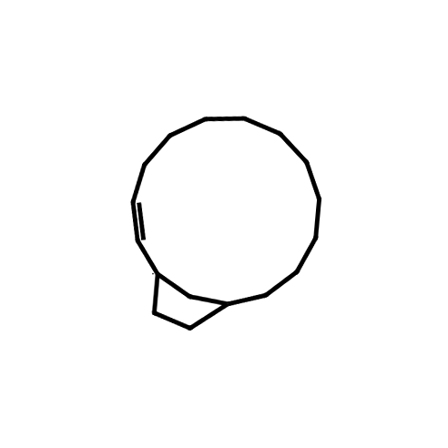 C1=C[C]2CCC(CCCCCCCCCC1)C2